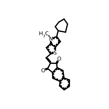 Cn1c(C2CCCCC2)cc2sc(C=C3C(=O)c4cc5ccccc5cc4C3=O)cc21